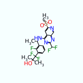 C[C@@H](Nc1nc(C(F)F)nc2cnc(S(C)(=O)=O)cc12)c1cccc(C(F)(F)C(C)(C)O)c1F